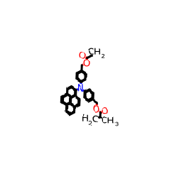 C=CC(=O)OCc1ccc(N(c2ccc(COC(=O)C(=C)C)cc2)c2ccc3ccc4cccc5ccc2c3c45)cc1